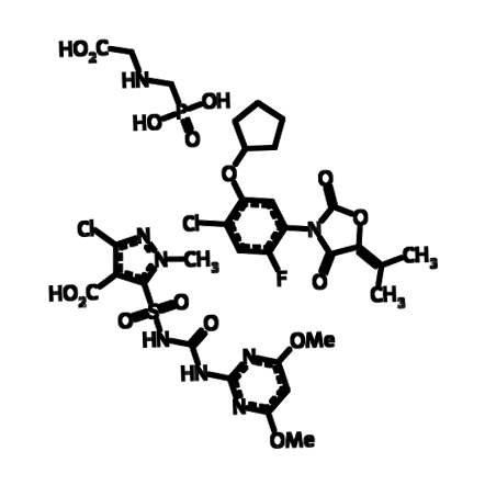 CC(C)=C1OC(=O)N(c2cc(OC3CCCC3)c(Cl)cc2F)C1=O.COc1cc(OC)nc(NC(=O)NS(=O)(=O)c2c(C(=O)O)c(Cl)nn2C)n1.O=C(O)CNCP(=O)(O)O